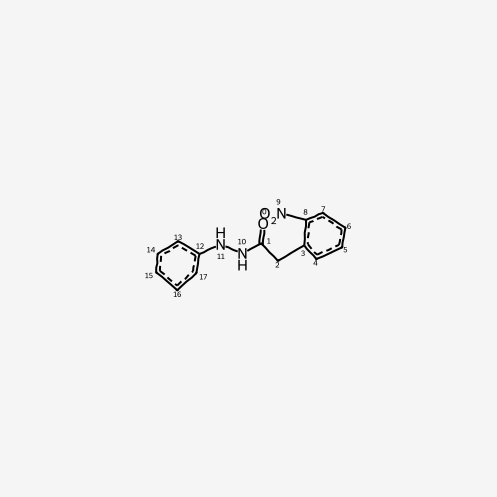 O=C(Cc1ccccc1[N+](=O)[O-])NNc1ccccc1